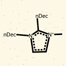 CCCCCCCCCCc1n(CCCCCCCCCC)cc[n+]1C